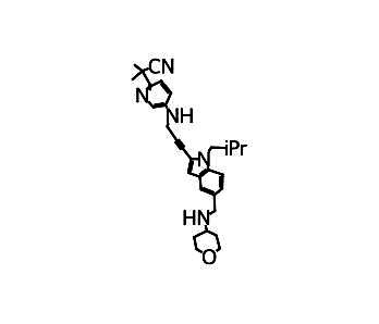 CC(C)Cn1c(C#CCNc2ccc(C(C)(C)C#N)nc2)cc2cc(CNC3CCOCC3)ccc21